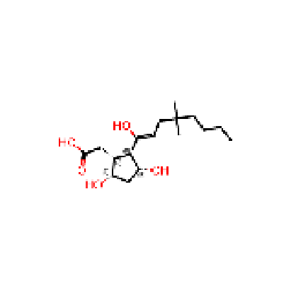 CCCCC(C)(C)CC=C(O)[C@@H]1[C@@H](CC(=O)O)[C@@H](O)C[C@H]1O